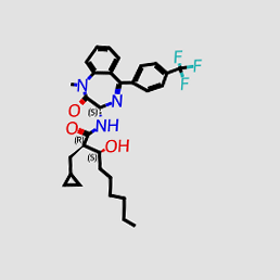 CCCCCC[C@H](O)[C@@H](CC1CC1)C(=O)N[C@H]1N=C(c2ccc(C(F)(F)F)cc2)c2ccccc2N(C)C1=O